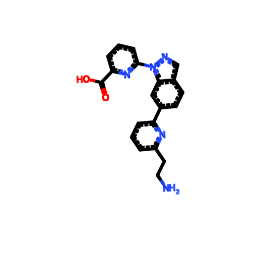 NCCc1cccc(-c2ccc3cnn(-c4cccc(C(=O)O)n4)c3c2)n1